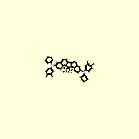 Cc1ccc(N(c2ccccc2)c2ccc3c4c(ccc3c2)-c2ccc3cc(N(c5ccccc5)c5ccc(C)c(C)c5)ccc3c2C4([Si](C)(C)C)[Si](C)(C)C)cc1C